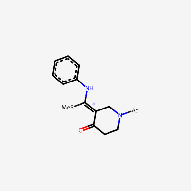 CS/C(Nc1ccccc1)=C1/CN(C(C)=O)CCC1=O